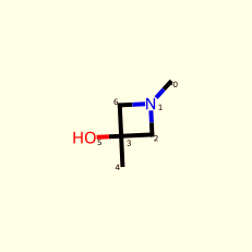 [CH2]N1CC(C)(O)C1